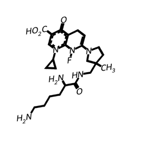 CC1(CNC(=O)C(N)CCCCN)CCN(C2=CCc3c(n(C4CC4)cc(C(=O)O)c3=O)N2F)C1